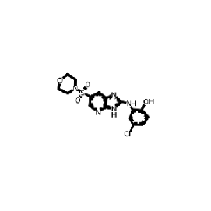 O=S(=O)(c1cnc2[nH]c(Nc3cc(Cl)ccc3O)nc2c1)N1CCOCC1